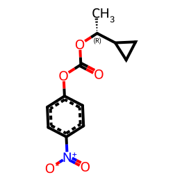 C[C@@H](OC(=O)Oc1ccc([N+](=O)[O-])cc1)C1CC1